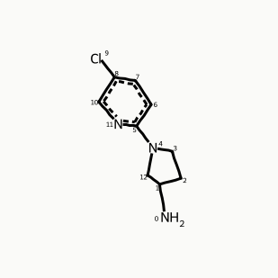 NC1CCN(c2ccc(Cl)cn2)C1